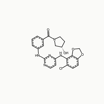 O=C(c1cccc(Nc2nccc(Nc3c(Cl)ccc4c3OCO4)n2)c1)N1CC[C@H](O)C1